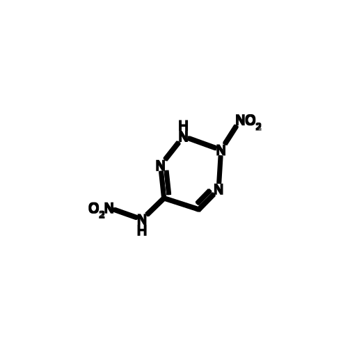 O=[N+]([O-])NC1=NNN([N+](=O)[O-])N=C1